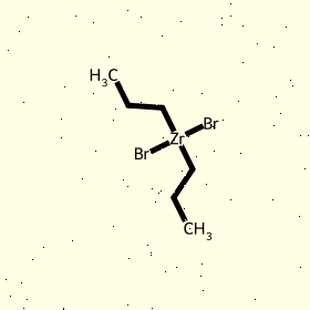 CC[CH2][Zr]([Br])([Br])[CH2]CC